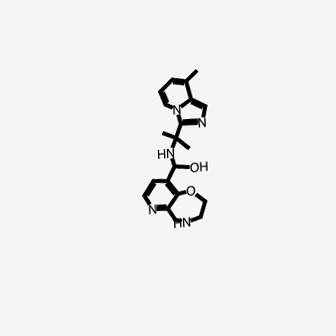 Cc1cccn2c(C(C)(C)NC(O)c3ccnc4c3OCCNC4)ncc12